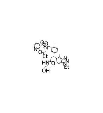 CC[C@@H]1CN(Cc2cc(C(CC(=O)NCCO)c3ccc4c(nnn4CC)c3C)ccc2C)S(=O)(=O)c2cccnc2O1